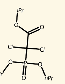 CCCOP(=O)(OCCC)C(Cl)(Cl)C(=O)OC(C)C